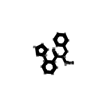 CCCCCN(Cc1ccccc1)C(=O)c1ccccc1-n1cccc1